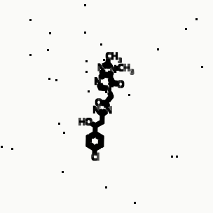 Cc1nc2ncn(Cc3nc(CC(O)c4ccc(Cl)cc4)no3)c(=O)c2n1C